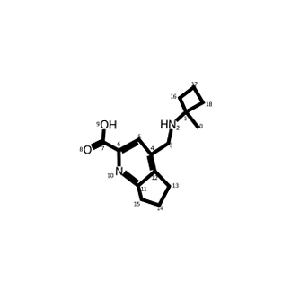 CC1(NCc2cc(C(=O)O)nc3c2CCC3)CCC1